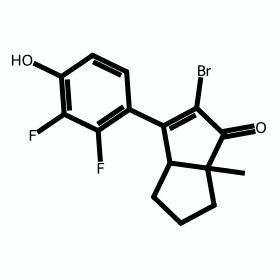 CC12CCCC1C(c1ccc(O)c(F)c1F)=C(Br)C2=O